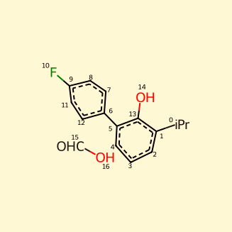 CC(C)c1cccc(-c2ccc(F)cc2)c1O.O=CO